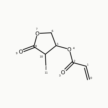 C=CC(=O)OC1COC(=O)C1I